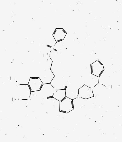 COc1ccc(C(CCCNS(=O)(=O)c2ccccc2)N2C(=O)c3cccc(N4CCN([C@H](C)c5ccccc5)CC4)c3C2=O)cc1OC